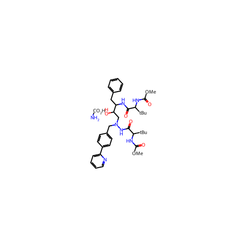 COC(=O)NC(C(=O)NC(Cc1ccccc1)C(O)CN(Cc1ccc(-c2ccccn2)cc1)NC(=O)C(NC(=O)OC)C(C)(C)C)C(C)(C)C.NC(=O)O